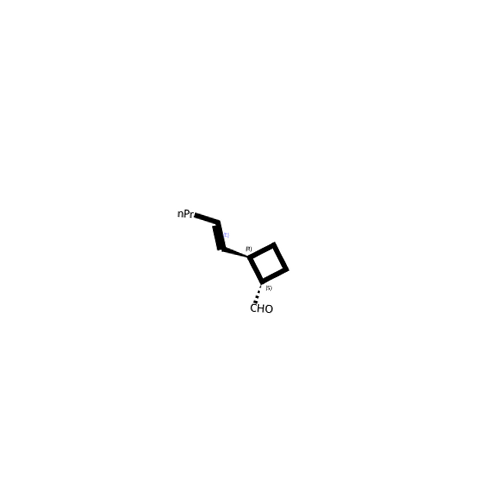 CCC/C=C/[C@H]1CC[C@@H]1C=O